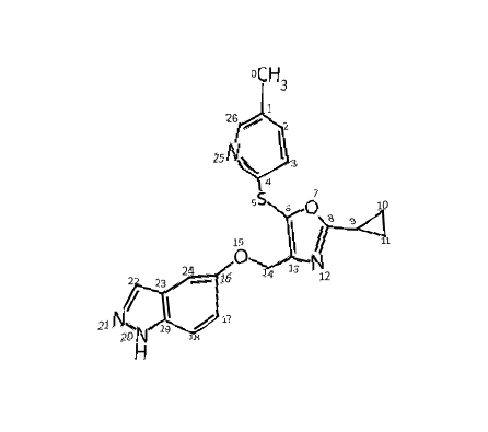 Cc1ccc(Sc2oc(C3CC3)nc2COc2ccc3[nH]ncc3c2)nc1